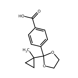 CC1(C2(c3ccc(C(=O)O)cc3)OCCO2)CC1